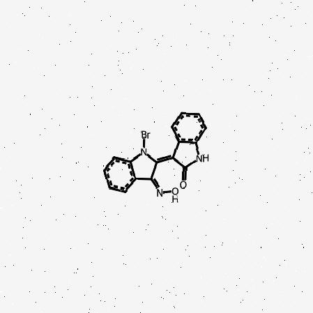 O=C1Nc2ccccc2/C1=C1/C(=N\O)c2ccccc2N1Br